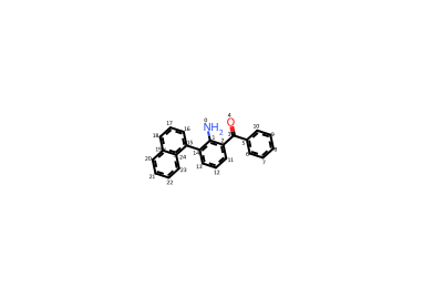 Nc1c(C(=O)c2ccccc2)cccc1-c1cccc2ccccc12